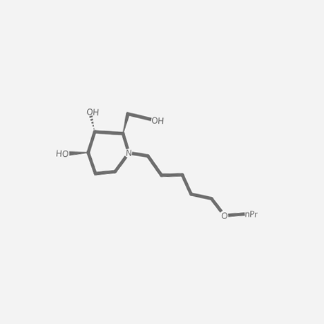 CCCOCCCCCN1CC[C@@H](O)[C@H](O)[C@H]1CO